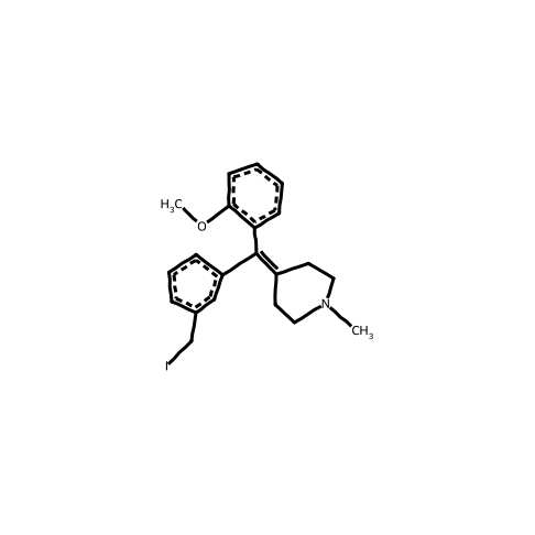 COc1ccccc1C(=C1CCN(C)CC1)c1cccc(CI)c1